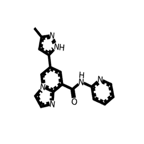 Cc1cc(-c2cc(C(=O)Nc3ccccn3)c3nccn3c2)[nH]n1